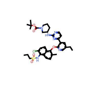 CCCS(=O)(=O)Nc1c(Cl)ccc2c(Oc3ncc(CC)cc3-c3ccnc(N[C@H]4CCCN(C(=O)OC(C)(C)C)C4)n3)c(C)ccc12